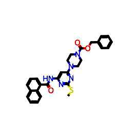 CSc1nc(NC(=O)c2cccc3ccccc23)cc(N2CCN(C(=O)OCc3ccccc3)CC2)n1